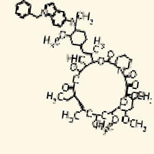 CCC1/C=C(\C)CC(C)CC(OC)C2OC(O)(C(=O)C(=O)N3CCCCC3C(=O)OC(C(C)=CC3CCC(N(C)c4ccc5c(ccn5Cc5ccccc5)c4)C(OC)C3)C(C)C(O)CC1=O)C(C)CC2OC